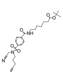 C#CCCCN(CC#N)S(=O)(=O)c1ccc(C(=O)NCCCCCCC(=O)OC(C)(C)C)cc1